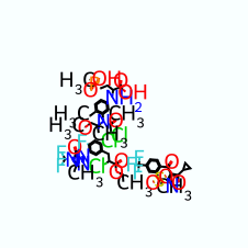 CCOC(=O)C(Cl)Cc1cc(-n2nc(C)n(C(F)F)c2=O)c(F)cc1Cl.CCc1cccc(C)c1N(C(=O)CCl)C(C)COC.CP(=O)(O)CCC(N)C(=O)O.CS(=O)(=O)c1cc(C(F)(F)F)ccc1C(=O)c1cnoc1C1CC1